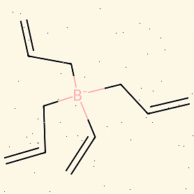 C=CC[B-](C=C)(CC=C)CC=C